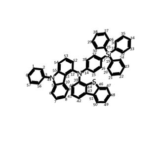 c1ccc(-n2c3ccccc3c3c(N(c4ccc([Si](c5ccccc5)(c5ccccc5)c5ccccc5)cc4)c4cccc5c4sc4ccccc45)cccc32)cc1